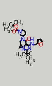 CC(C)(C)OC(=O)N1CCCC(N(CC2CC2)C(=O)c2cnc(C(C)(C)C)nc2NCc2ccco2)C1